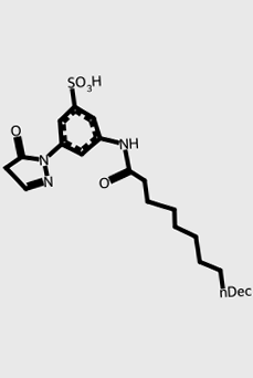 CCCCCCCCCCCCCCCCCC(=O)Nc1cc(N2N=CCC2=O)cc(S(=O)(=O)O)c1